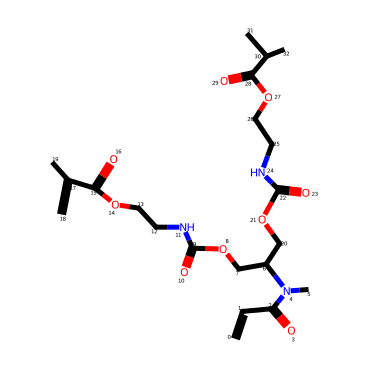 C=CC(=O)N(C)C(COC(=O)NCCOC(=O)C(=C)C)COC(=O)NCCOC(=O)C(C)C